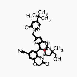 CC(C)(C)c1cnn(Cc2cc3nccc(-c4cc(C#N)cc5c4N([C@@H]4CN[C@@](C)(CO)C4)C(=O)CO5)c3s2)c(=O)c1